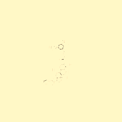 CC(C)=CCCC(C)C1CCC2(C)C3=C(CCC12C)C1(C)CCC(OC(=O)CCCc2cc(N)cc(N)c2)C(C)(C)C1CC3